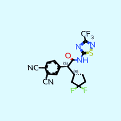 N#Cc1ccc([C@@H](C(=O)Nc2nc(C(F)(F)F)ns2)[C@@H]2CCC(F)(F)C2)cc1C#N